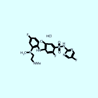 CNCCN(C)c1cc(F)ccc1Nc1cc(F)c(S(=O)(=O)Nc2ncc(F)cn2)cc1Cl.Cl